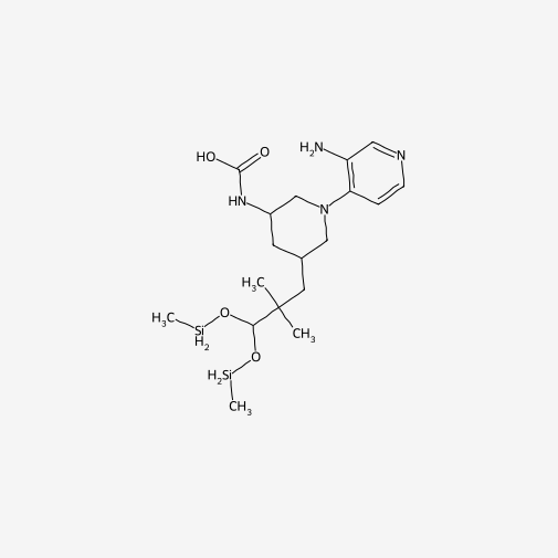 C[SiH2]OC(O[SiH2]C)C(C)(C)CC1CC(NC(=O)O)CN(c2ccncc2N)C1